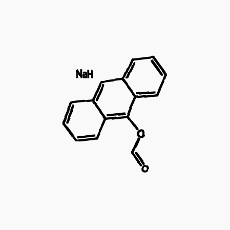 O=COc1c2ccccc2cc2ccccc12.[NaH]